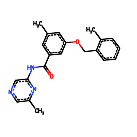 Cc1cc(OCc2ccccc2C)cc(C(=O)Nc2cncc(C)n2)c1